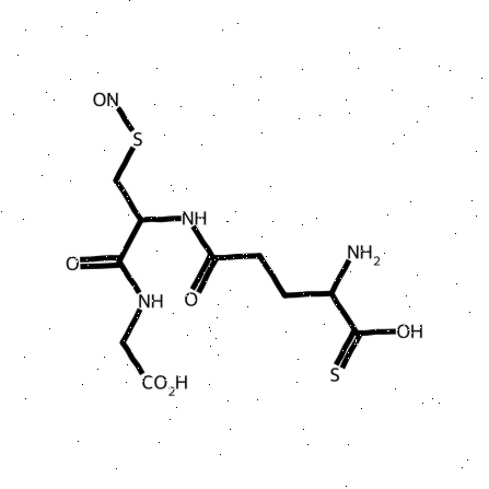 NC(CCC(=O)NC(CSN=O)C(=O)NCC(=O)O)C(O)=S